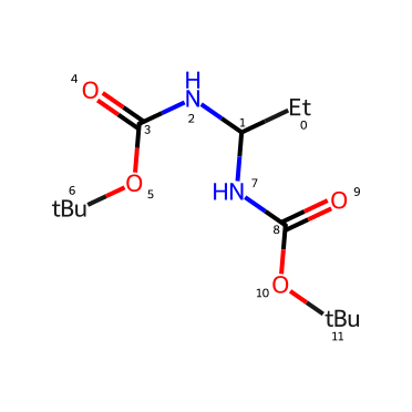 CCC(NC(=O)OC(C)(C)C)NC(=O)OC(C)(C)C